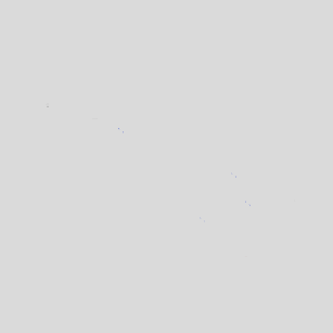 Cn1nc(C2CCN(C(=O)OC(C)(C)C)CC2)nc1Br